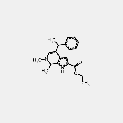 CCOC(=O)c1cc2c([nH]1)C(C)N(C)C=C2C(C)c1ccccc1